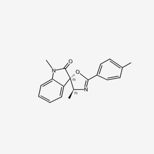 Cc1ccc(C2=N[C@@H](C)[C@]3(O2)C(=O)N(C)c2ccccc23)cc1